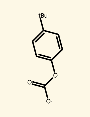 CC(C)(C)c1ccc(OC([O])=O)cc1